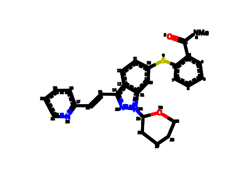 CNC(=O)c1ccccc1Sc1ccc2c(C=Cc3ccccn3)nn(C3CCCCO3)c2c1